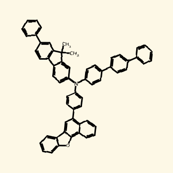 CC1(C)c2cc(-c3ccccc3)ccc2-c2ccc(N(c3ccc(-c4ccc(-c5ccccc5)cc4)cc3)c3ccc(-c4cc5c6ccccc6oc5c5ccccc45)cc3)cc21